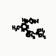 Cc1cc(NC2CNC2)nc(N(C)CCN(C)C)n1